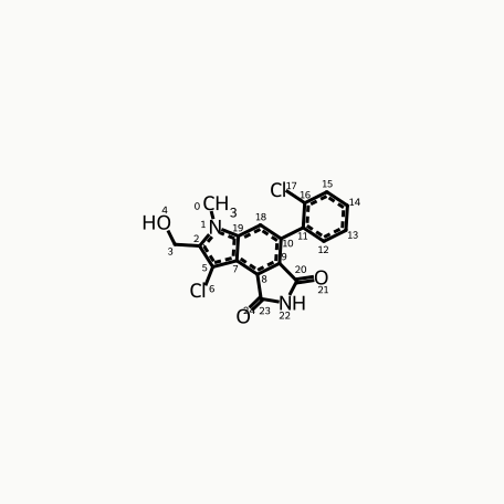 Cn1c(CO)c(Cl)c2c3c(c(-c4ccccc4Cl)cc21)C(=O)NC3=O